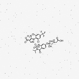 CC(C)N1C(=O)c2ccccc2NS1(=O)=O.Nc1c([N+](=O)[O-])cnn1-c1c(Cl)cc(C(F)(F)F)cc1Cl.O=C(O)CNCP(=O)(O)O